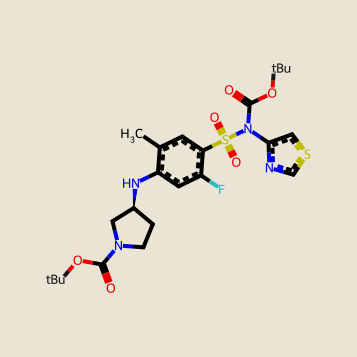 Cc1cc(S(=O)(=O)N(C(=O)OC(C)(C)C)c2cscn2)c(F)cc1N[C@H]1CCN(C(=O)OC(C)(C)C)C1